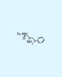 N[C@@H](CSc1ccccc1)CC(=O)NC1CC1